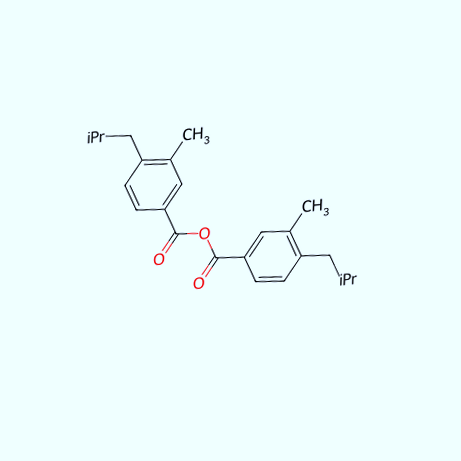 Cc1cc(C(=O)OC(=O)c2ccc(CC(C)C)c(C)c2)ccc1CC(C)C